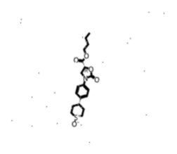 CCCCOC(=O)[C@H]1CN(c2ccc([C@H]3CC[S@@+]([O-])CC3)cc2)C(=O)O1